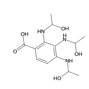 CC(O)Nc1ccc(C(=O)O)c(NC(C)O)c1NC(C)O